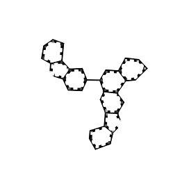 c1ccc2c(c1)cc(-c1ccc3oc4ccccc4c3c1)c1cc3c(cc12)oc1ccccc13